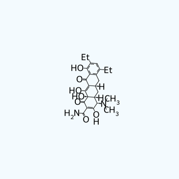 CCc1cc(CC)c2c(c1O)C(=O)C1=C(O)[C@@]3(O)C(=O)C(C(N)=O)=C(O)[C@H](N(C)C)[C@H]3C[C@H]1C2